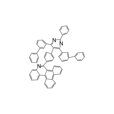 c1ccc(-c2cccc(-c3nc(-c4ccccc4)nc(-c4cccc(-c5ccccc5)c4)c3-c3ccc(-c4nc5ccccc5c5c6ccccc6c6ccccc6c45)cc3)c2)cc1